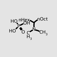 CCCCCCCCC(CCCCCC)N(C)C.O=P(O)(O)O